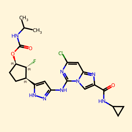 CC(C)NC(=O)O[C@@H]1CC[C@H](c2cc(Nc3nc(Cl)cc4nc(C(=O)NC5CC5)cn34)n[nH]2)[C@H]1F